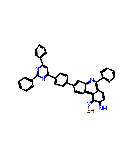 N=C1C=Cc2c(-c3ccccc3)nc3cc(-c4ccc(-c5cc(-c6ccccc6)nc(-c6ccccc6)n5)cc4)ccc3c2/C1=N/S